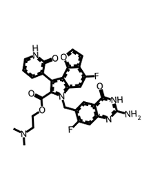 CN(C)CCOC(=O)c1c(-c2ccc[nH]c2=O)c2c3occc3c(F)cc2n1Cc1cc2c(=O)[nH]c(N)nc2cc1F